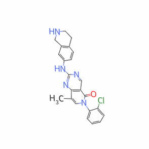 Cc1cn(-c2ccccc2Cl)c(=O)c2cnc(Nc3ccc4c(c3)CNCC4)nc12